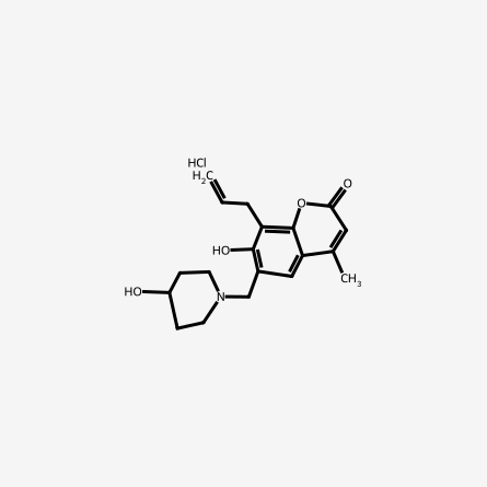 C=CCc1c(O)c(CN2CCC(O)CC2)cc2c(C)cc(=O)oc12.Cl